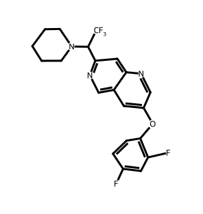 Fc1ccc(Oc2cnc3cc(C(N4CCCCC4)C(F)(F)F)ncc3c2)c(F)c1